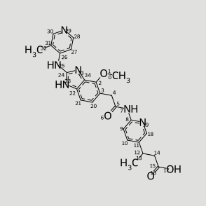 COc1c(CC(=O)Nc2ccc(C(C)CC(=O)O)cn2)ccc2[nH]c(Nc3ccncc3C)nc12